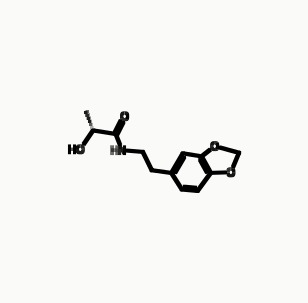 C[C@@H](O)C(=O)NCCc1ccc2c(c1)OCO2